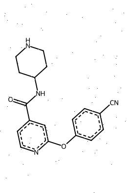 N#Cc1ccc(Oc2cc(C(=O)NC3CCNCC3)ccn2)cc1